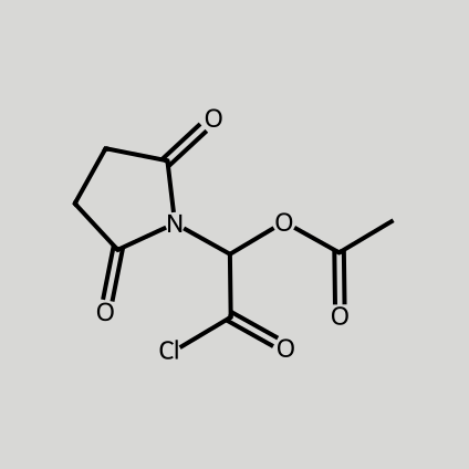 CC(=O)OC(C(=O)Cl)N1C(=O)CCC1=O